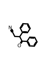 N#CCC(C(=O)c1ccccc1)c1ccccc1